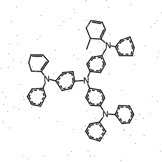 CC1CC=CC=C1N(c1ccccc1)c1ccc(N(c2ccc(N(C3=CC=CCC3)c3ccccc3)cc2)c2ccc(N(c3ccccc3)c3ccccc3)cc2)cc1